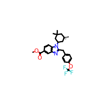 COC(=O)c1ccc2c(c1)nc(Cc1ccc(OC(F)(F)F)cc1)n2C1C[C@H](C)CC(C)(C)C1